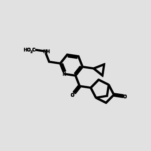 O=C(O)NCc1ccc(C2CC2)c(C(=O)C2CC3CC2CC3=O)n1